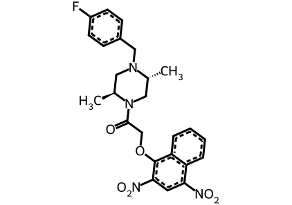 C[C@@H]1CN(C(=O)COc2c([N+](=O)[O-])cc([N+](=O)[O-])c3ccccc23)[C@@H](C)CN1Cc1ccc(F)cc1